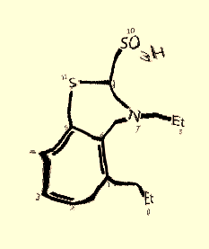 CCc1cccc2c1N(CC)C(S(=O)(=O)O)S2